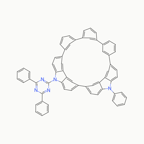 c1ccc(-c2nc(-c3ccccc3)nc(-n3c4ccc5cc4c4cc(ccc43)c3ccc4c(c3)c3cc(ccc3n4-c3ccccc3)c3cccc(c3)c3cccc(c3)c3cccc5c3)n2)cc1